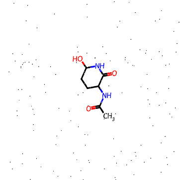 CC(=O)NC1CCC(O)NC1=O